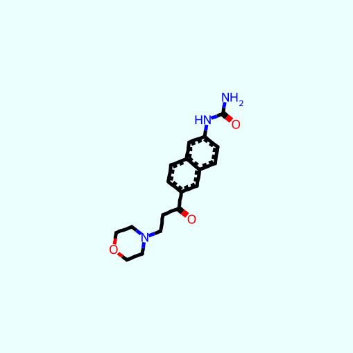 NC(=O)Nc1ccc2cc(C(=O)CCN3CCOCC3)ccc2c1